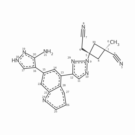 C[C@]1(C#N)C[C@](CC#N)(n2ncc(-c3cc(-c4c[nH]nc4N)cc4ncccc34)n2)C1